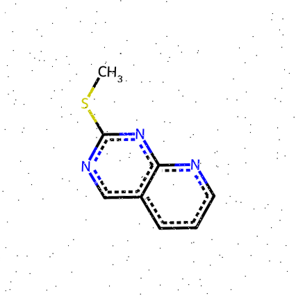 CSc1ncc2cccnc2n1